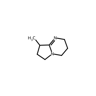 CC1CCN2CCCN=C12